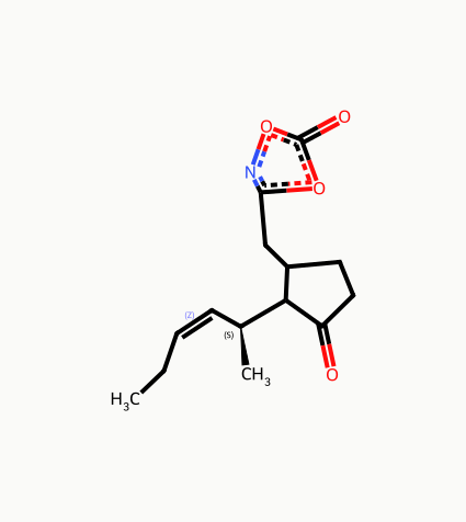 CC/C=C\[C@H](C)C1C(=O)CCC1Cc1noc(=O)o1